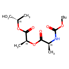 C[C@H](NC(=O)OC(C)(C)C)C(=O)O[C@@H](C)C(=O)O[C@@H](C)C(=O)O